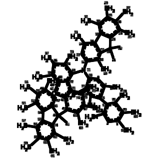 Bc1cc(B)c(-c2c(B)cc(N(c3cc(B)c4c(c3B)C(C)(C)c3c(B)c(B)c(B)c(B)c3-4)c3c(B)c(B)c(B)c4oc5c(C6(C)c7cc(B)c(B)c(B)c7-c7c(B)c(B)c(B)c(B)c76)c(B)c(B)c(B)c5c34)c(B)c2B)c(B)c1B